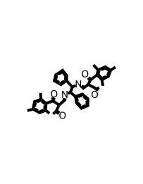 CC(=O)C(C=NC(c1ccccc1)C(N=CC(C(C)=O)C(=O)c1c(C)cc(C)cc1C)c1ccccc1)C(=O)c1c(C)cc(C)cc1C